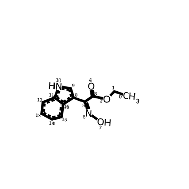 CCOC(=O)C(=NO)c1c[nH]c2ccccc12